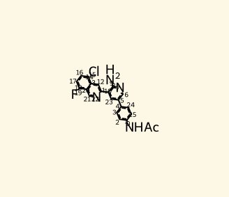 CC(=O)Nc1ccc(-c2cnc(N)c(-c3cc4c(Cl)ccc(F)c4cn3)c2)cc1